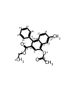 CCOC(=O)c1cc(OC(C)=O)c2cc(C)ccc2c1-c1ccccc1